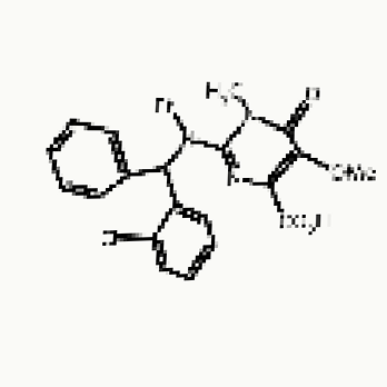 CCN(c1nc(C(=O)O)c(OC)c(=O)n1C)C(c1ccccc1)c1ccccc1Cl